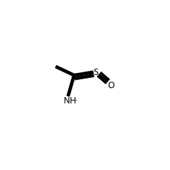 CC([NH])=S=O